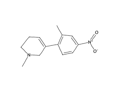 Cc1cc([N+](=O)[O-])ccc1C1=CCCN(C)C1